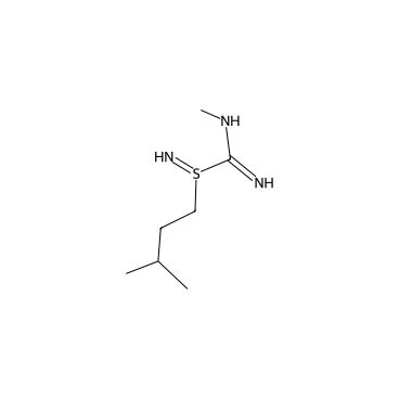 CNC(=N)S(=N)CCC(C)C